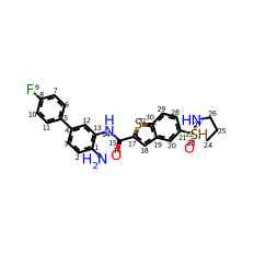 Nc1ccc(-c2ccc(F)cc2)cc1NC(=O)c1cc2cc([SH]3(=O)CCCN3)ccc2s1